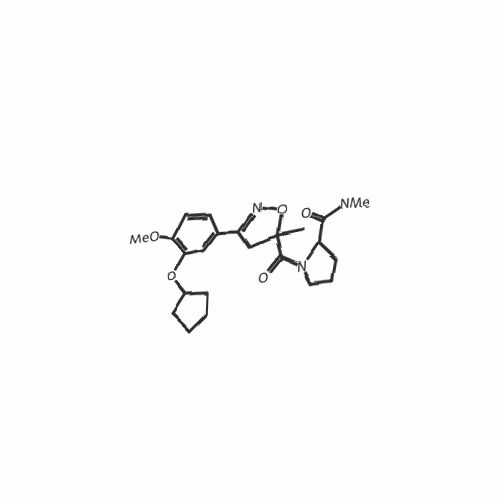 CNC(=O)C1CCCN1C(=O)C1(C)CC(c2ccc(OC)c(OC3CCCC3)c2)=NO1